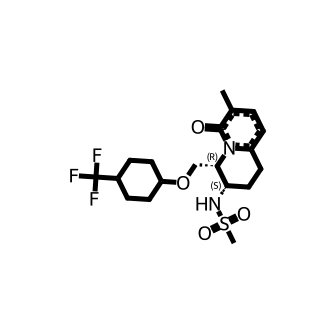 Cc1ccc2n(c1=O)[C@@H](COC1CCC(C(F)(F)F)CC1)[C@@H](NS(C)(=O)=O)CC2